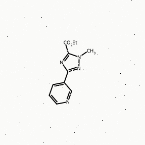 CCOC(=O)c1nc(-c2cccnc2)nn1C